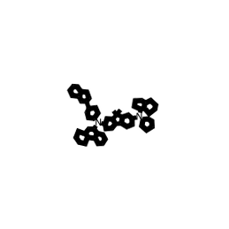 CC1(C)c2cc(N(c3ccccc3)c3cccc4ccccc34)ccc2-c2ccc(N(c3ccc(-c4ccc5ccccc5c4)cc3)c3cc4ccccc4c4ccccc34)cc21